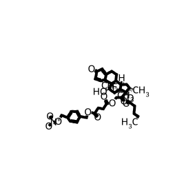 CCCCC(=O)O[C@]1(C(=O)COC(=O)CCC(=O)OCc2ccc(CO[N+](=O)[O-])cc2)[C@@H](C)C[C@H]2C3CCC4=CC(=O)C=C[C@]4(C)[C@@]3(F)[C@@H](O)C[C@@]21C